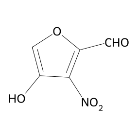 O=Cc1occ(O)c1[N+](=O)[O-]